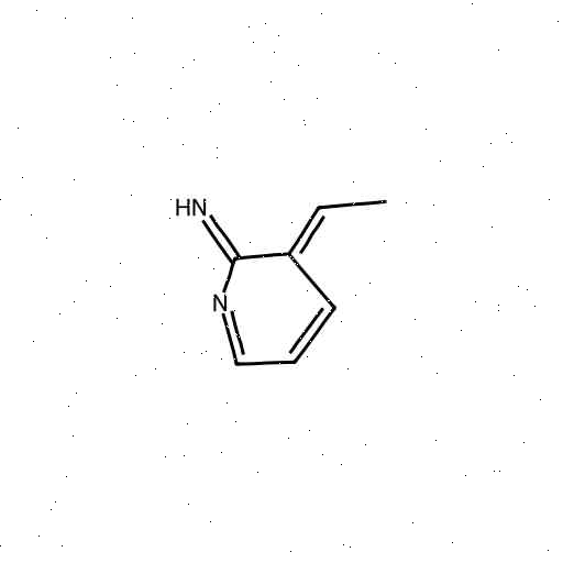 CC=C1C=CC=NC1=N